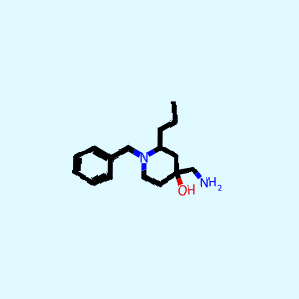 CCCC1CC(O)(CN)CCN1Cc1ccccc1